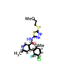 COCCSc1nnc(NC(=O)c2cnc(C)cc2-c2c(OC)ccc(Cl)c2F)s1